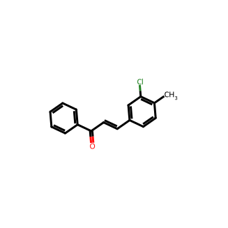 Cc1ccc(/C=C/C(=O)c2ccccc2)cc1Cl